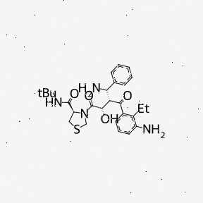 CCc1c(N)cccc1C(=O)[C@@H](C(N)c1ccccc1)[C@H](O)C(=O)N1CSC[C@H]1C(=O)NC(C)(C)C